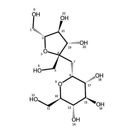 OC[C@H]1O[C@@](CO)(C[C@H]2O[C@H](CO)[C@@H](O)[C@H](O)[C@H]2O)[C@@H](O)[C@@H]1O